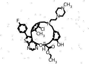 CCOC(=O)[C@H]1Cc2cc(ccc2O)CN(CCN2CCN(C)CC2)Cc2ccc(c(C)c2Cl)-c2c(-c3ccc(F)cc3)sc3ncnc(c23)O1